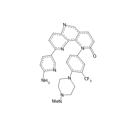 CNN1CCN(c2ccc(-n3c(=O)ccc4cnc5ccc(-c6ccc(N)nc6)nc5c43)cc2C(F)(F)F)CC1